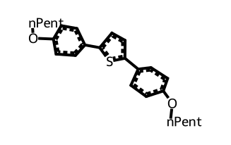 CCCCCOc1ccc(-c2ccc(-c3ccc(OCCCCC)cc3)s2)cc1